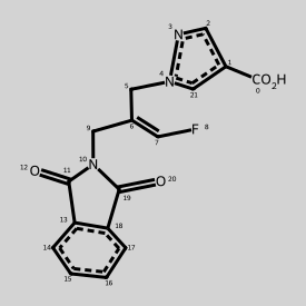 O=C(O)c1cnn(CC(=CF)CN2C(=O)c3ccccc3C2=O)c1